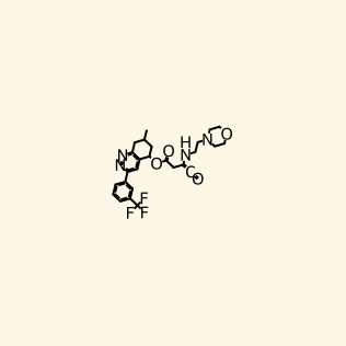 CC1Cc2nnc(-c3cccc(C(F)(F)F)c3)cc2C(OC(=O)CC(=C=O)NCCN2CCOCC2)C1